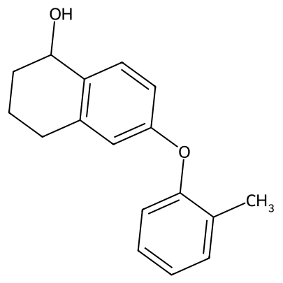 Cc1ccccc1Oc1ccc2c(c1)CCCC2O